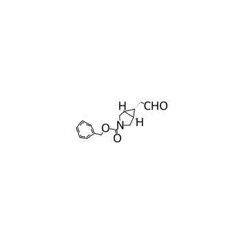 O=CC[C@@H]1[C@H]2CN(C(=O)OCc3ccccc3)C[C@@H]12